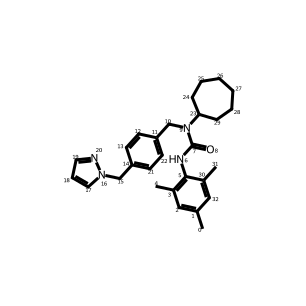 Cc1cc(C)c(NC(=O)N(Cc2ccc(Cn3cccn3)cc2)C2CCCCCC2)c(C)c1